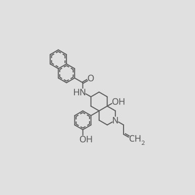 C=CCN1CCC2(c3cccc(O)c3)CC(NC(=O)c3ccc4ccccc4c3)CCC2(O)C1